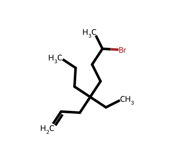 C=CCC(CC)(CCC)CCC(C)Br